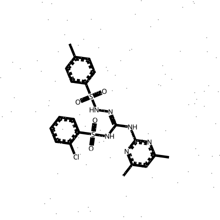 Cc1ccc(S(=O)(=O)NN=C(Nc2nc(C)cc(C)n2)NS(=O)(=O)c2ccccc2Cl)cc1